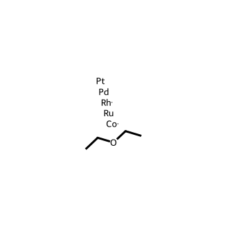 CCOCC.[Co].[Pd].[Pt].[Rh].[Ru]